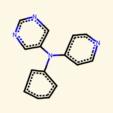 c1ccc(N(c2ccncc2)c2cncnc2)cc1